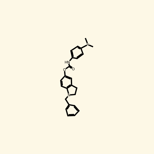 CN(C)c1ccc(NC(=O)Oc2ccc3c(c2)CCN3Cc2ccccc2)cc1